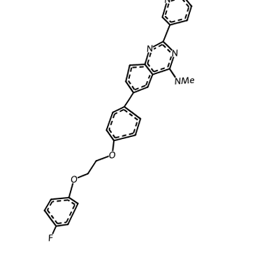 CNc1nc(-c2cccnc2)nc2ccc(-c3ccc(OCCOc4ccc(F)cc4)cc3)cc12